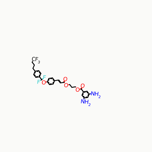 Nc1cc(N)cc(C(=O)OCCCOC(=O)C=Cc2ccc(OC(F)(F)c3ccc(CCCC(F)(F)F)cc3)cc2)c1